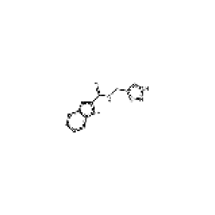 O=C(NCc1c[nH]nn1)c1cc2ccccc2[nH]1